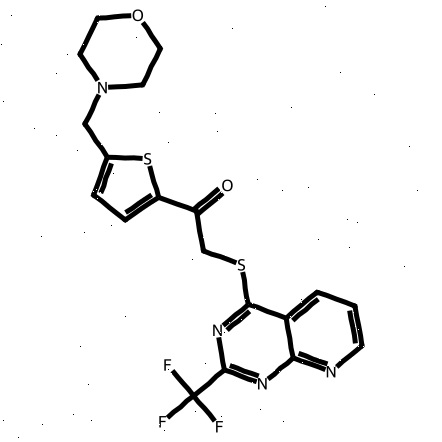 O=C(CSc1nc(C(F)(F)F)nc2ncccc12)c1ccc(CN2CCOCC2)s1